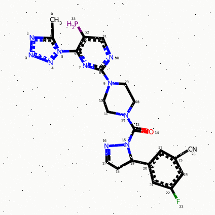 Cc1nnnn1-c1nc(N2CCN(C(=O)N3N=CCC3c3cc(F)cc(C#N)c3)CC2)ncc1P